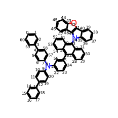 c1ccc(-c2ccc(N(c3ccc(-c4ccccc4)cc3)c3cccc(-c4c5ccccc5c(-n5c6ccccc6c6oc7ccccc7c65)c5ccccc45)c3)cc2)cc1